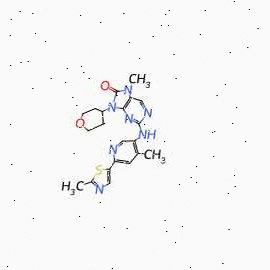 Cc1ncc(-c2cc(C)c(Nc3ncc4c(n3)n(C3CCOCC3)c(=O)n4C)cn2)s1